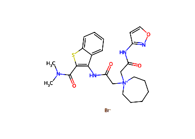 CN(C)C(=O)c1sc2ccccc2c1NC(=O)C[N+]1(CC(=O)Nc2ccon2)CCCCCC1.[Br-]